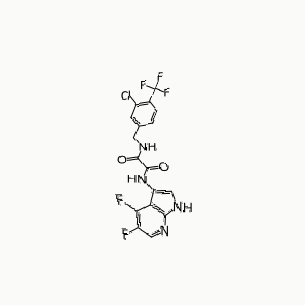 O=C(NCc1ccc(C(F)(F)F)c(Cl)c1)C(=O)Nc1c[nH]c2ncc(F)c(F)c12